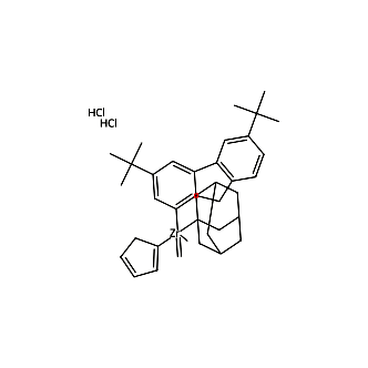 Cl.Cl.[CH2]=[Zr]([CH3])([C]1=CC=CC1)([c]1cc(C(C)(C)C)cc2c1Cc1ccc(C(C)(C)C)cc1-2)[C]12CC3CC(CC(C3)C1)C2